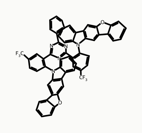 FC(F)(F)c1ccc(-n2c3ccccc3c3cc4oc5ccccc5c4cc32)c(-c2nc(-c3ccccc3)nc(-c3cc(C(F)(F)F)ccc3-n3c4ccccc4c4cc5oc6ccccc6c5cc43)n2)c1